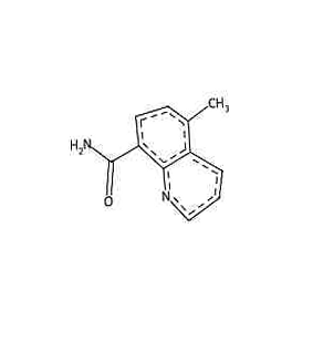 Cc1ccc(C(N)=O)c2ncccc12